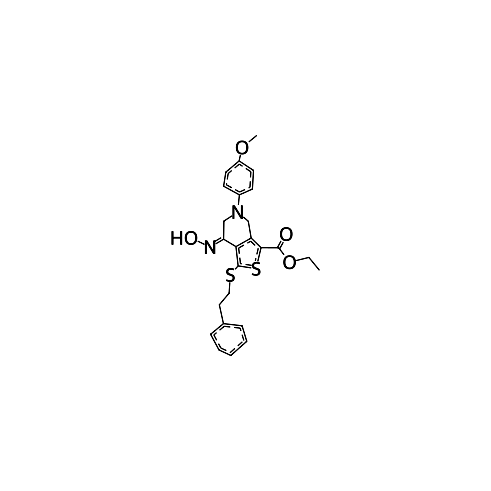 CCOC(=O)c1sc(SCCc2ccccc2)c2c1CN(c1ccc(OC)cc1)C/C2=N\O